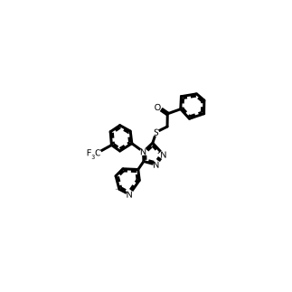 O=C(CSc1nnc(-c2cc[c]nc2)n1-c1cccc(C(F)(F)F)c1)c1ccccc1